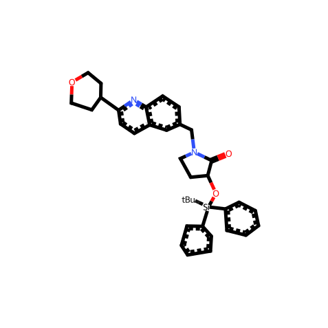 CC(C)(C)[Si](OC1CCN(Cc2ccc3nc(C4CCOCC4)ccc3c2)C1=O)(c1ccccc1)c1ccccc1